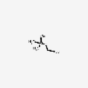 CCC(C)CO[Si](C)(C)C(C)(C)C